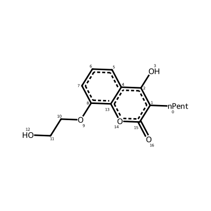 CCCCCc1c(O)c2cccc(OCCO)c2oc1=O